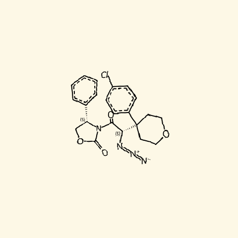 [N-]=[N+]=N[C@H](C(=O)N1C(=O)OC[C@@H]1c1ccccc1)C1(c2ccc(Cl)cc2)CCOCC1